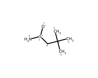 CC(C)(C)C[S+](N)[O-]